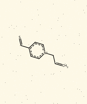 C=CC[n+]1ccc([C]=S)cc1